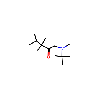 CC(C)C(C)(C)C(=O)CN(C)C(C)(C)C